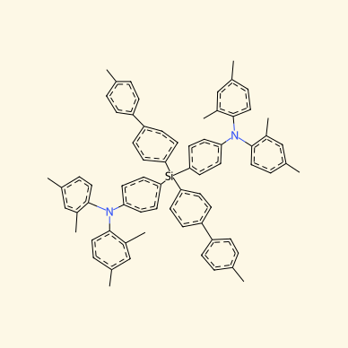 Cc1ccc(-c2ccc([Si](c3ccc(-c4ccc(C)cc4)cc3)(c3ccc(N(c4ccc(C)cc4C)c4ccc(C)cc4C)cc3)c3ccc(N(c4ccc(C)cc4C)c4ccc(C)cc4C)cc3)cc2)cc1